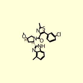 CO[C@@H]1C[C@@H](c2nc3c(C)cccc3[nH]2)N(C(=O)c2nc(C)sc2-c2cccc(Cl)c2)C1